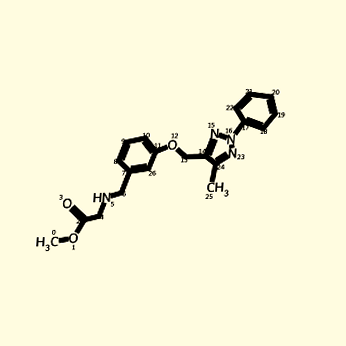 COC(=O)CNCc1cccc(OCc2nn(-c3ccccc3)nc2C)c1